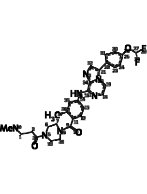 CNCCC(=O)N1CCN(C(=O)c2ccc(Nc3nccn4c(-c5ccc(OC(F)F)cc5)cnc34)cc2C)CC1